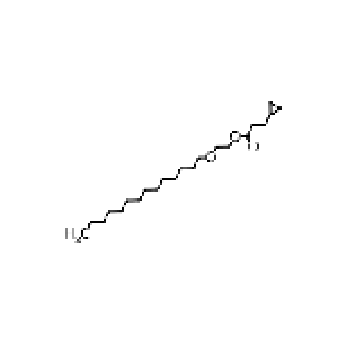 CCCCCCCCCCCCCCOCCOC(=O)CCC1CC1